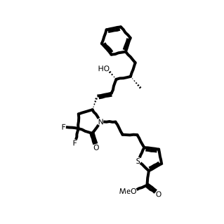 COC(=O)c1ccc(CCCN2C(=O)C(F)(F)C[C@@H]2/C=C/[C@H](O)[C@@H](C)Cc2ccccc2)s1